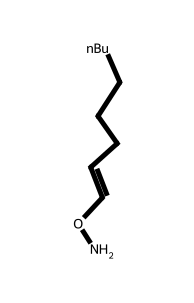 CCCCCCCC=CON